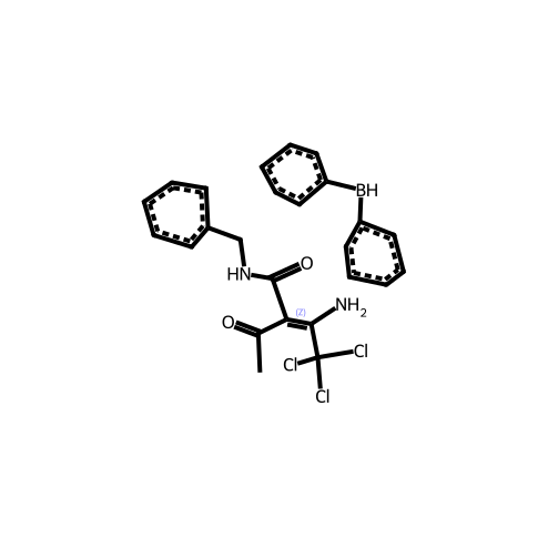 B(c1ccccc1)c1ccccc1.CC(=O)/C(C(=O)NCc1ccccc1)=C(/N)C(Cl)(Cl)Cl